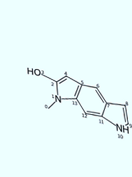 Cn1c(O)cc2cc3cc[nH]c3cc21